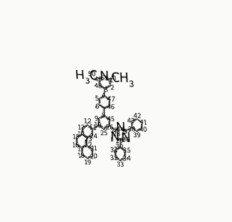 Cc1cc(-c2ccc(-c3cc(-c4ccc5ccc6ccccc6c5c4)cc(-c4nc(-c5ccccc5)nc(-c5ccccc5)n4)c3)cc2)cc(C)n1